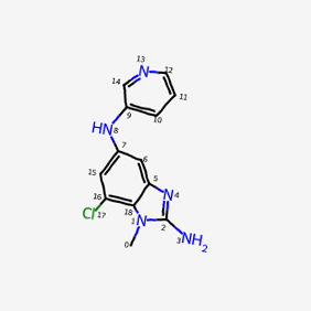 Cn1c(N)nc2cc(Nc3cccnc3)cc(Cl)c21